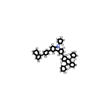 c1ccc(-c2c3ccccc3c(-c3ccccc3)c3cc(-c4ccc5c(c4)c4cc(-c6ccc(-c7cccc8ccccc78)cc6)ccc4n5-c4ccccc4)ccc23)cc1